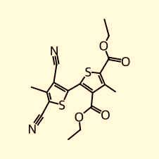 CCOC(=O)c1sc(-c2sc(C#N)c(C)c2C#N)c(C(=O)OCC)c1C